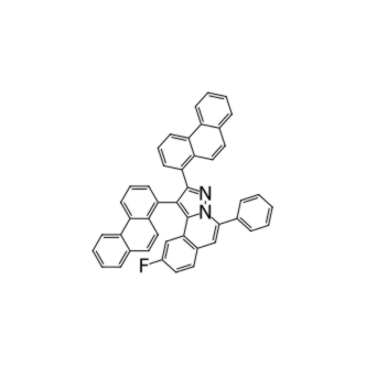 Fc1ccc2cc(-c3ccccc3)n3nc(-c4cccc5c4ccc4ccccc45)c(-c4cccc5c4ccc4ccccc45)c3c2c1